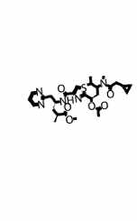 COC(=O)[C@@H](C)C[C@H](Cc1ncccn1)NC(=O)c1csc([C@@H](CC(C(C)C)N(C)C(=O)CC2CC2)OC(C)=O)n1